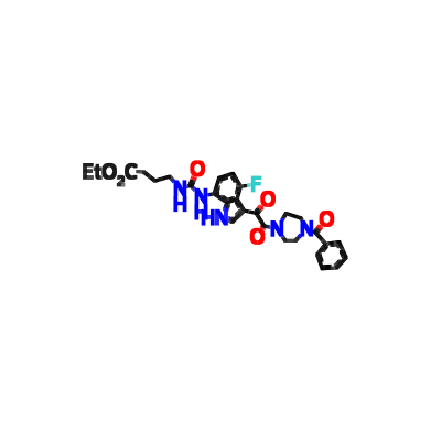 CCOC(=O)CCCNC(=O)Nc1ccc(F)c2c(C(=O)C(=O)N3CCN(C(=O)c4ccccc4)CC3)c[nH]c12